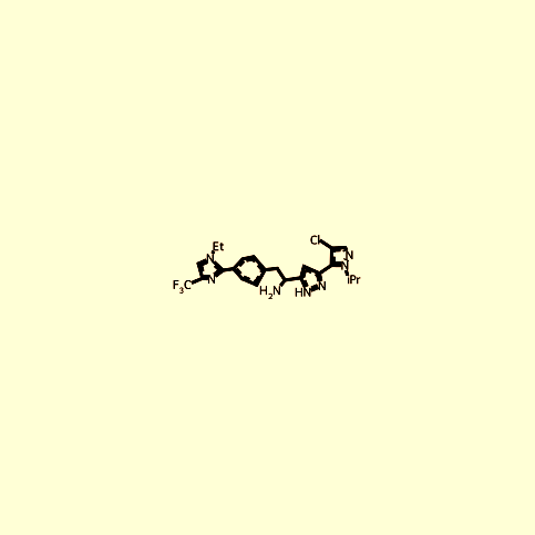 CCn1cc(C(F)(F)F)nc1-c1ccc(CC(N)c2cc(-c3c(Cl)cnn3C(C)C)n[nH]2)cc1